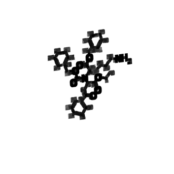 CCOC(=O)C(CC(=O)c1ccccc1)N(C(=O)OCc1ccccc1)[C@@H](CCCCN)C(=O)OCc1ccccc1